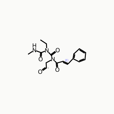 CCN(C(=O)NC)C(=O)N(C[C]=O)C(=O)/C=C/c1ccccc1